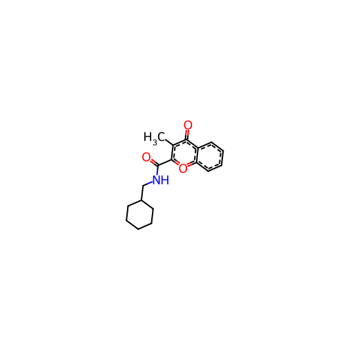 Cc1c(C(=O)NCC2CCCCC2)oc2ccccc2c1=O